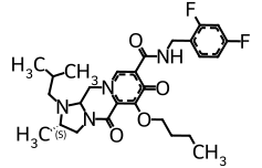 CCCCOc1c2n(cc(C(=O)NCc3ccc(F)cc3F)c1=O)CC1N(C[C@H](C)N1CC(C)C)C2=O